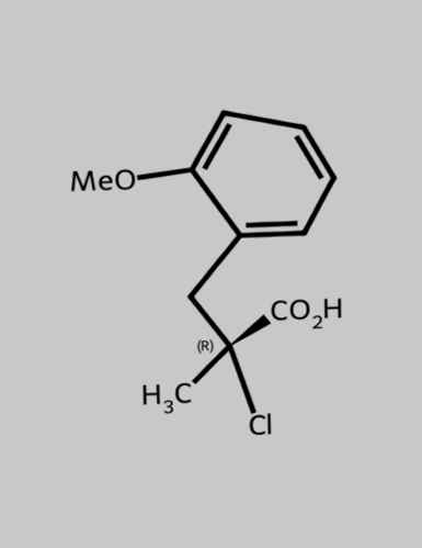 COc1ccccc1C[C@@](C)(Cl)C(=O)O